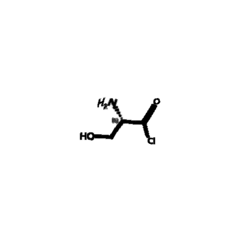 N[C@@H](CO)C(=O)Cl